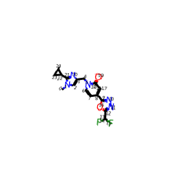 Cn1cc(Cn2ccc(-c3nnc(C(F)F)o3)cc2=O)nc1C1CC1